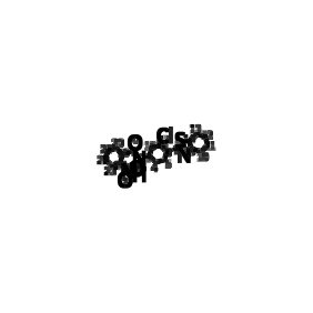 O=C(Nc1ccc(-c2nc3ccccc3s2)c(Cl)c1)c1ccccc1[N+](=O)[O-]